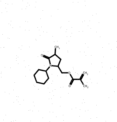 C=C(C)C(=O)OCC1CC(C)C(=O)N1C1CCCCC1